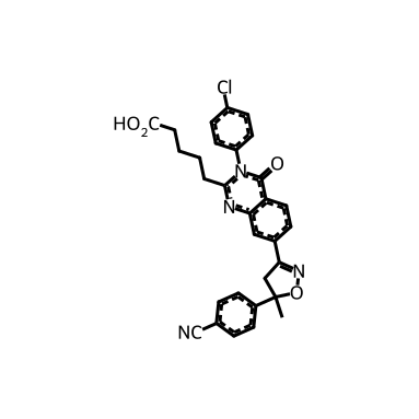 CC1(c2ccc(C#N)cc2)CC(c2ccc3c(=O)n(-c4ccc(Cl)cc4)c(CCCCC(=O)O)nc3c2)=NO1